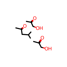 CC(=O)CC(C)C.CC(=O)CO.CC(=O)CO